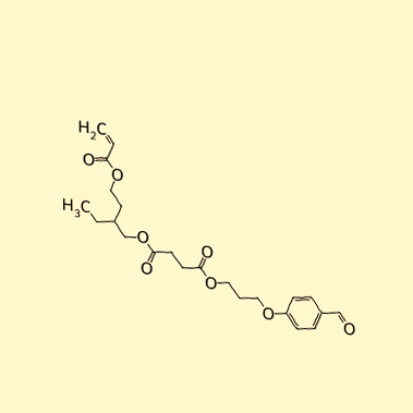 C=CC(=O)OCCC(CC)COC(=O)CCC(=O)OCCCOc1ccc(C=O)cc1